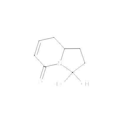 CC1(C)CCC2CC=CC(=O)N21